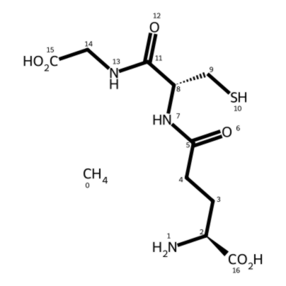 C.N[C@@H](CCC(=O)N[C@@H](CS)C(=O)NCC(=O)O)C(=O)O